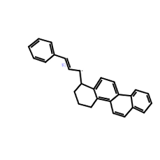 [CH](/C=C/c1ccccc1)C1CCCc2c1ccc1c2ccc2ccccc21